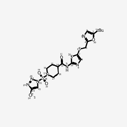 CC(C)(C)c1cnc(CSc2cnc(NC(=O)C3CCN(S(=O)(=O)n4cc(C(F)(F)F)nn4)CC3)s2)o1